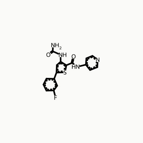 NC(=O)Nc1cc(-c2cccc(F)c2)sc1C(=O)Nc1ccncc1